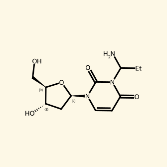 CCC(N)n1c(=O)ccn([C@H]2C[C@H](O)[C@@H](CO)O2)c1=O